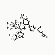 CCOC(=O)c1cn(-c2ccc(OC)c(F)c2CN(C(=O)OC(C)(C)C)C(=O)OC(C)(C)C)nn1